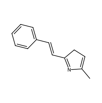 CC1=CCC(C=Cc2ccccc2)=N1